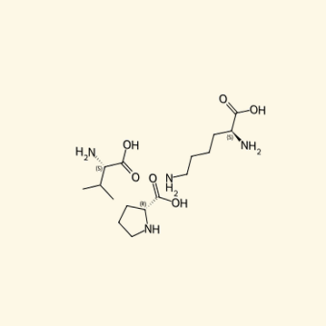 CC(C)[C@H](N)C(=O)O.NCCCC[C@H](N)C(=O)O.O=C(O)[C@H]1CCCN1